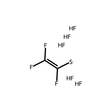 F.F.F.F.F.FC(F)=C(F)[S]